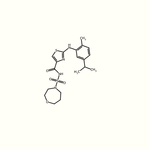 Cc1ccc(C(C)C)cc1Nc1nc(C(=O)NS(=O)(=O)N2CCCOCC2)cs1